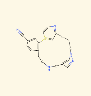 N#Cc1ccc2c(c1)S1=CC(=NC=C1)CCCn1cc(cn1)CNCC2